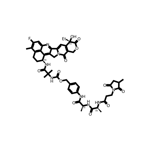 CC[C@@]1(O)C(=O)OCc2c1cc1n(c2=O)Cc2c-1nc1cc(F)c(C)c3c1c2[C@@H](NC(=O)C(C)(C)NC(=O)OCc1ccc(NC(=O)[C@H](C)NC(=O)[C@H](C)NC(=O)CCN2C(=O)CC(C)C2=O)cc1)CC3